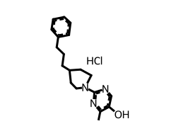 Cc1nc(N2CCC(CCCc3ccccc3)CC2)ncc1O.Cl